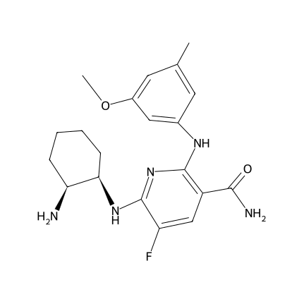 COc1cc(C)cc(Nc2nc(N[C@@H]3CCCC[C@@H]3N)c(F)cc2C(N)=O)c1